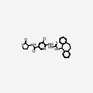 O=C(NC1CCSC1=O)c1cnc(NNC(=S)NC2c3ccccc3CCc3ccccc32)c(Cl)c1